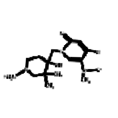 C[S+]([O-])c1cn(CC2(O)CCN(C(=O)O)CC2(C)C)c(=O)cc1Cl